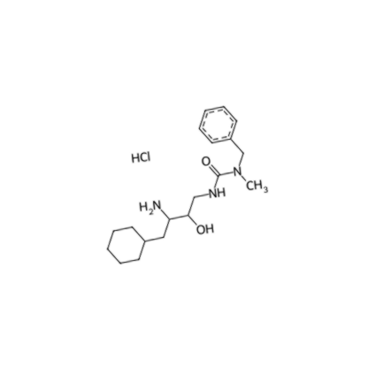 CN(Cc1ccccc1)C(=O)NCC(O)C(N)CC1CCCCC1.Cl